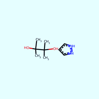 CC(C)(O)C(C)(C)O.c1cn[nH]c1